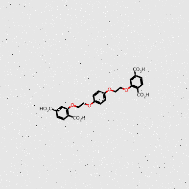 O=C(O)c1ccc(C(=O)O)c(OCCOc2ccc(OCCOc3cc(C(=O)O)ccc3C(=O)O)cc2)c1